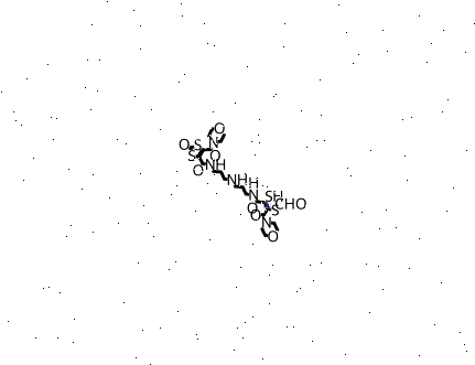 O=CS/C(C(=O)N1CCOCC1)=C(\S)C(=O)NCCCNCCCNC(=O)c1sc(=O)sc1C(=O)N1CCOCC1